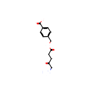 NCC(=O)CCC(=O)OCc1ccc(C(=O)O)cc1